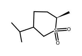 CC(C)C1CC[C@@H](C)S(=O)(=O)C1